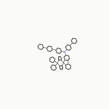 c1ccc(-c2ccc(-c3ccc(N(c4ccc(-c5ccccc5)cc4)c4ccc5c(c4)C4(c6ccccc6-5)c5ccccc5C(c5ccccc5)(c5ccccc5)c5ccccc54)cc3)cc2)cc1